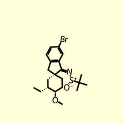 CC[C@@H]1C[C@]2(CC[C@H]1OC)Cc1ccc(Br)cc1/C2=N/[S@+]([O-])C(C)(C)C